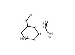 CCC1CCCNC1.O=CO